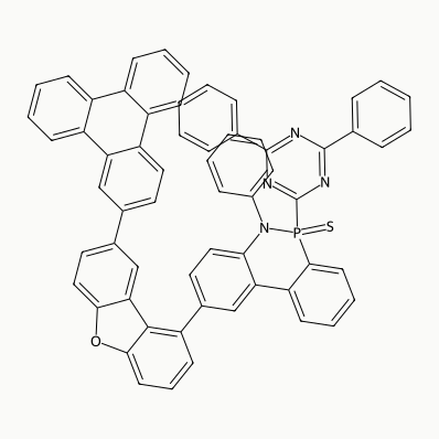 S=P1(c2nc(-c3ccccc3)nc(-c3ccccc3)n2)c2ccccc2-c2cc(-c3cccc4oc5ccc(-c6ccc7c8ccccc8c8ccccc8c7c6)cc5c34)ccc2N1c1ccccc1